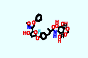 CON=C(COc1ccccc1)[C@H]1O[C@@H](Oc2ccc(C=C(C)C(=O)N[C@@H]3[C@H](O)[C@@H](O)[C@H]4OCO[C@H]4[C@@H]3O)cc2F)C[C@@H]1O